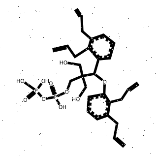 C=CCc1cccc(OC(c2cccc(CC=C)c2CC=C)C(CO)(CO)COP(=O)(O)OP(=O)(O)O)c1CC=C